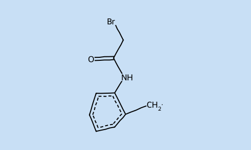 [CH2]c1ccccc1NC(=O)CBr